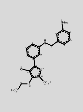 CC(=O)Nc1cccc(CNc2cccc(-c3sc(C(=O)O)c(OCC(=O)O)c3Cl)c2)c1